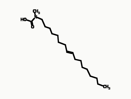 CCCCCCCCC=CCCCCCCCN(C)C(=O)O